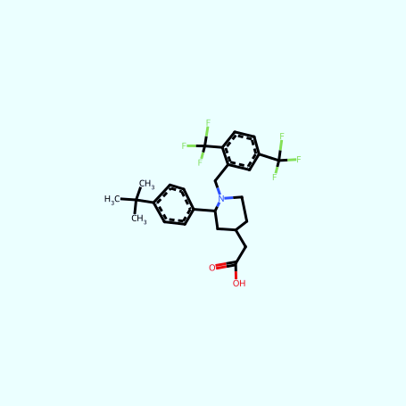 CC(C)(C)c1ccc(C2CC(CC(=O)O)CCN2Cc2cc(C(F)(F)F)ccc2C(F)(F)F)cc1